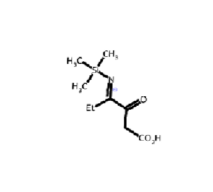 CC/C(=N\[Si](C)(C)C)C(=O)CC(=O)O